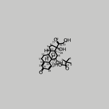 CC(C)(C)C(=O)O.C[C@H]1C[C@H]2[C@@H]3CCC4=CC(=O)C=C[C@]4(C)[C@@]3(Cl)[C@@H](O)C[C@]2(C)[C@@]1(O)C(=O)CO